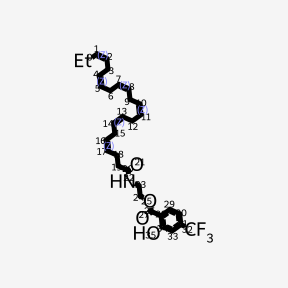 CC/C=C\C/C=C\C/C=C\C/C=C\C/C=C\C/C=C\CCC(=O)NCCOC(=O)c1ccc(C(F)(F)F)cc1O